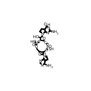 Nc1nc2c(ccn2C2OC3COP(=O)(S)OC4C(O)C(COP(=O)(O)OC3C2O)OC4n2ccc3c(N)ncnc32)c(=O)[nH]1